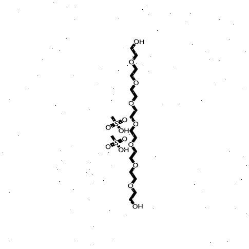 CS(=O)(=O)O.CS(=O)(=O)O.OCCOCCOCCOCCOCCOCCOCCOCCO